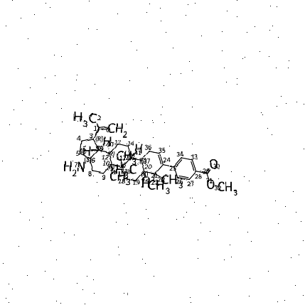 C=C(C)[C@@H]1CC[C@]2(N)CC[C@]3(C)[C@H](CC[C@H]4C3(C)CC[C@H]3C(C)(C)C(c5ccc(C(=O)OC)cc5)=CC[C@@]34C)[C@@H]12